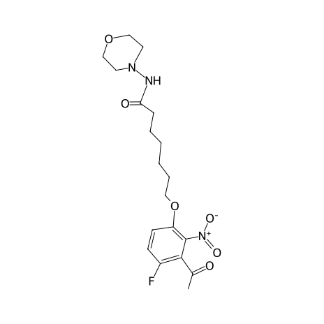 CC(=O)c1c(F)ccc(OCCCCCCC(=O)NN2CCOCC2)c1[N+](=O)[O-]